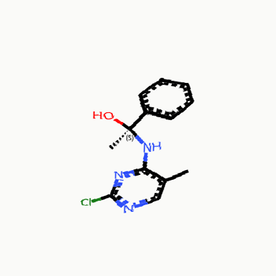 Cc1cnc(Cl)nc1N[C@@](C)(O)c1ccccc1